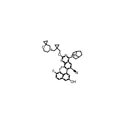 N#Cc1cc2c(N3CC4CCC(C3)N4)nc(OCC3(CN4CCOC5(CC5)C4)CC3)nc2c(F)c1-c1cc(O)cc2ccc(F)c(F)c12